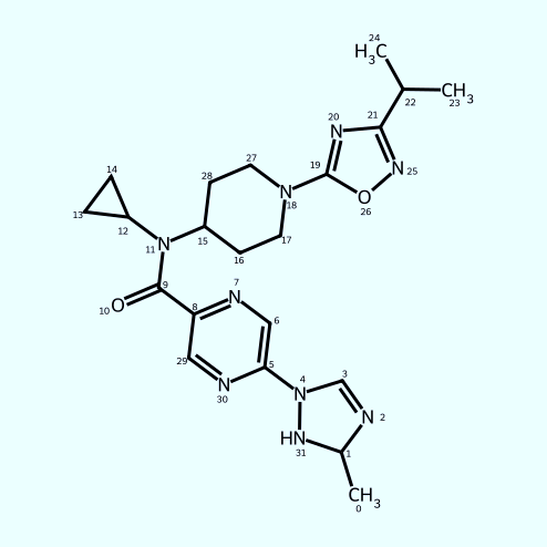 CC1N=CN(c2cnc(C(=O)N(C3CC3)C3CCN(c4nc(C(C)C)no4)CC3)cn2)N1